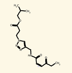 CCC(=O)/C=C\C(=O)NCc1cn(CCC(=O)OCC(C)C)nn1